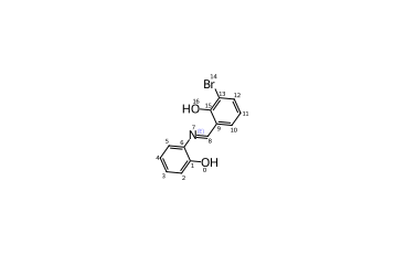 Oc1ccccc1/N=C/c1cccc(Br)c1O